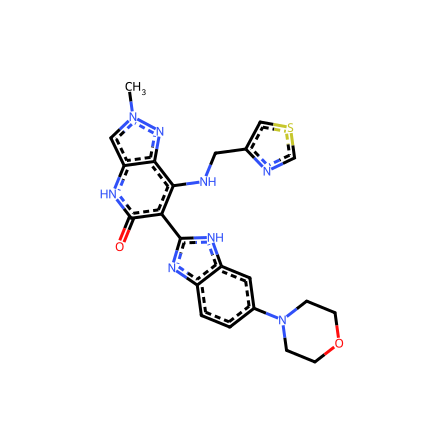 Cn1cc2[nH]c(=O)c(-c3nc4ccc(N5CCOCC5)cc4[nH]3)c(NCc3cscn3)c2n1